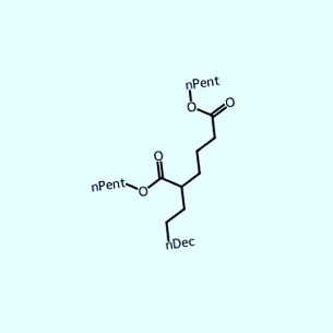 CCCCCCCCCCCCC(CCCC(=O)OCCCCC)C(=O)OCCCCC